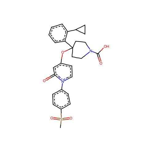 CS(=O)(=O)c1ccc(-n2ccc(OC3(c4ccccc4C4CC4)CCN(C(=O)O)CC3)cc2=O)cc1